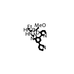 CCNC(=O)Nc1nc2cc(-c3cccnc3)cc(-c3ncccc3OCCOC)c2[nH]1